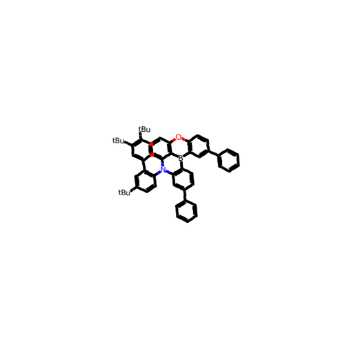 CC(C)(C)c1ccc(N2c3cc(-c4ccccc4)ccc3B3c4cc(-c5ccccc5)ccc4Oc4cccc2c43)c(-c2ccc(C(C)(C)C)c(C(C)(C)C)c2)c1